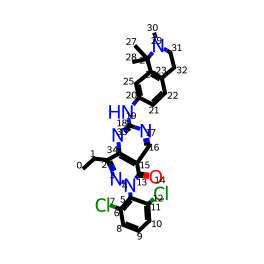 CCc1nn(-c2c(Cl)cccc2Cl)c(=O)c2cnc(Nc3ccc4c(c3)C(C)(C)N(C)CC4)nc12